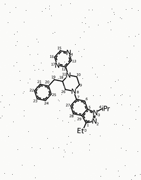 CCc1nn(C(C)C)c2cc(N3CCN(c4cnccn4)C(Cc4ccccc4)C3)ccc12